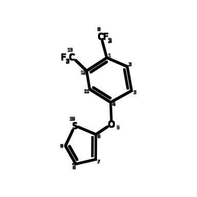 FC(F)(F)c1ccc(Oc2c[c]cs2)cc1C(F)(F)F